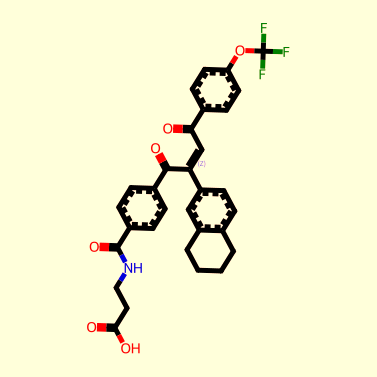 O=C(O)CCNC(=O)c1ccc(C(=O)/C(=C\C(=O)c2ccc(OC(F)(F)F)cc2)c2ccc3c(c2)CCCC3)cc1